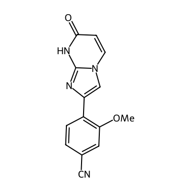 COc1cc(C#N)ccc1-c1cn2ccc(=O)[nH]c2n1